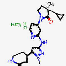 Cl.Cl.Cn1nc(Nc2cc(N3CC[C@@](C#N)(C4CC4)C3=O)ccn2)cc1C1CCNCC1